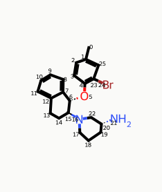 Cc1ccc(O[C@H]2c3ccccc3CC[C@@H]2N2CCC[C@@H](N)C2)c(Br)c1